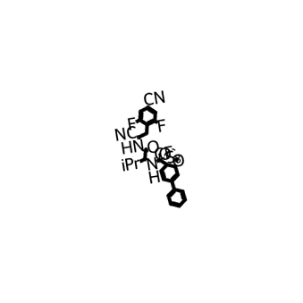 CC(C)C(N[C@@H](C(F)(F)F)[C@@]1(S(C)(=O)=O)C=CC(c2ccccc2)=CC1)C(=O)N[C@H](C#N)Cc1c(F)cc(C#N)cc1F